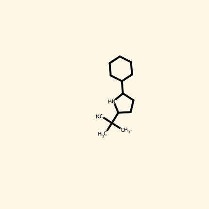 CC(C)(C#N)C1CCC(C2CCCCC2)N1